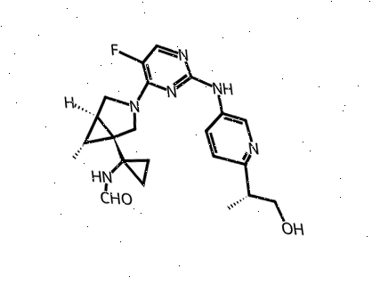 C[C@@H]1[C@H]2CN(c3nc(Nc4ccc([C@@H](C)CO)nc4)ncc3F)C[C@]12C1(NC=O)CC1